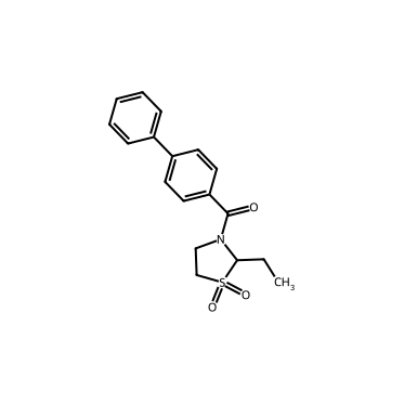 CCC1N(C(=O)c2ccc(-c3ccccc3)cc2)CCS1(=O)=O